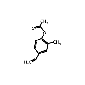 C=Cc1ccc(OC(C)=S)c(C)c1